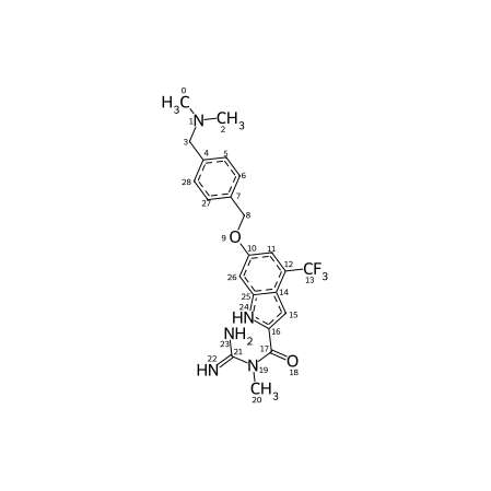 CN(C)Cc1ccc(COc2cc(C(F)(F)F)c3cc(C(=O)N(C)C(=N)N)[nH]c3c2)cc1